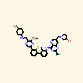 COc1nc(-c2cccc(-c3cccc(Nc4nc(C(F)F)nc5cc(CN6CC[C@@H](O)C6)cnc45)c3C)c2Cl)cnc1CNC1CCC(C(=O)O)CC1